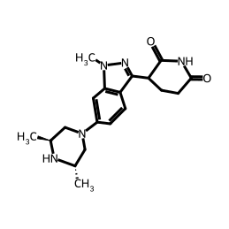 C[C@H]1CN(c2ccc3c(C4CCC(=O)NC4=O)nn(C)c3c2)C[C@H](C)N1